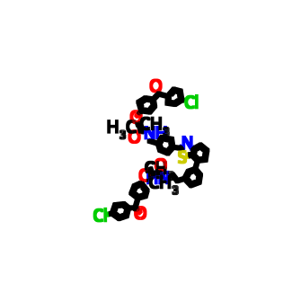 CC(C)(Oc1ccc(C(=O)c2ccc(Cl)cc2)cc1)C(=O)NCCc1cccc(-c2cccc3nc(-c4ccc(CNC(=O)C(C)(C)Oc5ccc(C(=O)c6ccc(Cl)cc6)cc5)cc4)sc23)c1